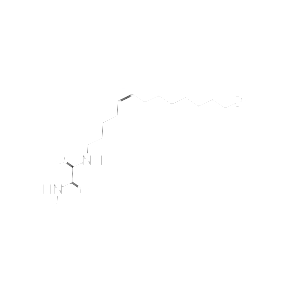 CNC(=O)C(=O)NCCCC/C=C\CCCCCCCBr